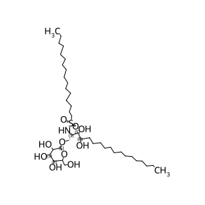 CCCCCCCCCCCCCCCCS(=O)(=O)N[C@@H](CO[C@H]1OC(CO)[C@H](O)[C@H](O)C1O)[C@H](O)[C@H](O)CCCCCCCCCCCCCC